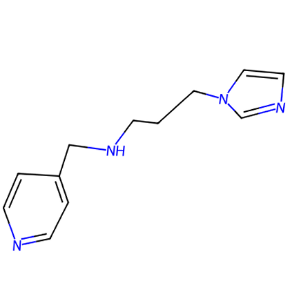 c1cc(CNCCCn2ccnc2)ccn1